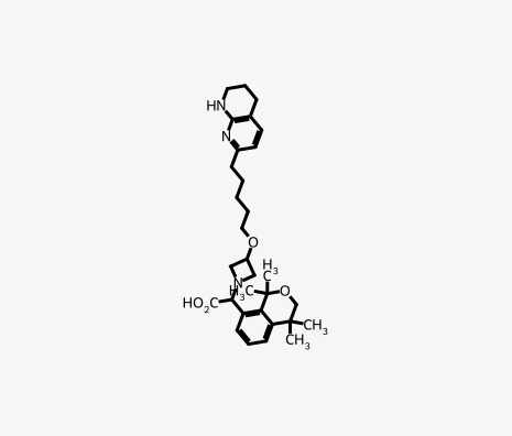 CC1(C)COC(C)(C)c2c(C(C(=O)O)N3CC(OCCCCCc4ccc5c(n4)NCCC5)C3)cccc21